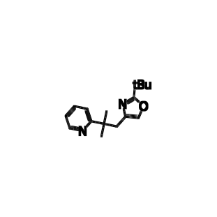 CC(C)(C)c1nc(CC(C)(C)c2ccccn2)co1